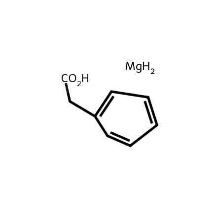 O=C(O)Cc1ccccc1.[MgH2]